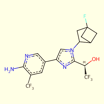 Nc1ncc(-c2cn(C3CC4(F)CC3C4)c([C@@H](O)C(F)(F)F)n2)cc1C(F)(F)F